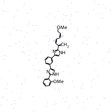 C=C(/C=C\C=C/COC)c1nc(-c2cccc(-c3c[nH]c(-c4ccccc4OC)n3)c2)c[nH]1